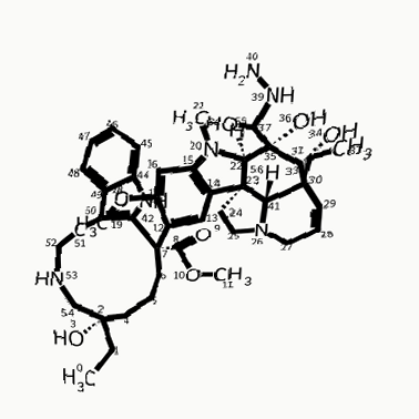 CC[C@]1(O)CCC[C@](C(=O)OC)(c2cc3c(cc2OC)N(C)[C@@H]2[C@]34CCN3CC=C[C@@](CC)([C@@H](O)[C@]2(O)C(O)NN)[C@H]34)c2[nH]c3ccccc3c2CCNC1